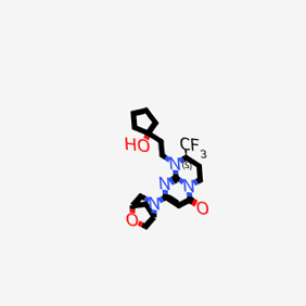 O=c1cc(N2CC3CC2CO3)nc2n1CC[C@@H](C(F)(F)F)N2CCC1(O)CCCC1